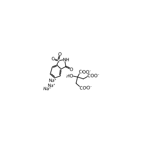 O=C([O-])CC(O)(CC(=O)[O-])C(=O)[O-].O=C1NS(=O)(=O)c2ccccc21.[Na+].[Na+].[Na+]